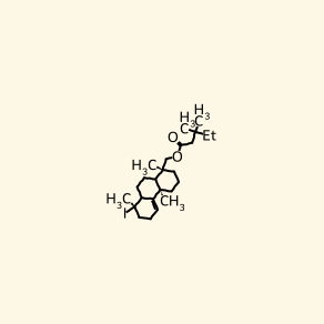 CCC(C)(C)CC(=O)OC[C@]1(C)CCC[C@@]2(C)C3=CCC[C@](C)(I)C3CCC12